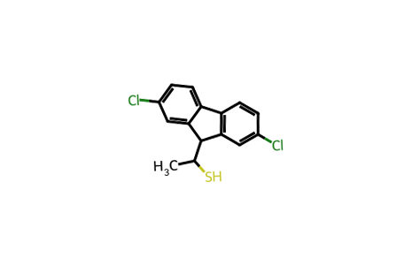 CC(S)C1c2cc(Cl)ccc2-c2ccc(Cl)cc21